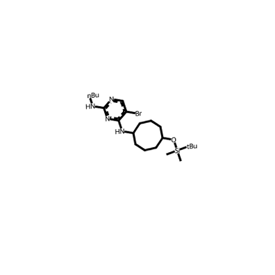 CCCCNc1ncc(Br)c(NC2CCCC(O[Si](C)(C)C(C)(C)C)CCC2)n1